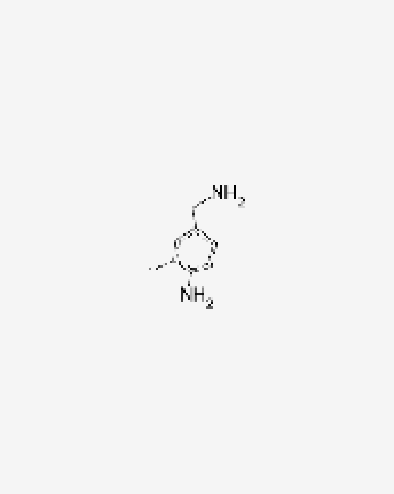 [CH2]c1cc(CN)ccc1N